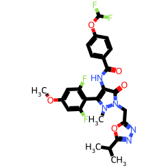 COc1cc(F)c(-c2c(NC(=O)c3ccc(OC(F)F)cc3)c(=O)n(Cc3nnc(C(C)C)o3)n2C)c(F)c1